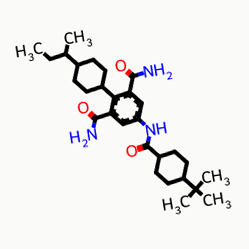 CCC(C)C1CCC(c2c(C(N)=O)cc(NC(=O)C3CCC(C(C)(C)C)CC3)cc2C(N)=O)CC1